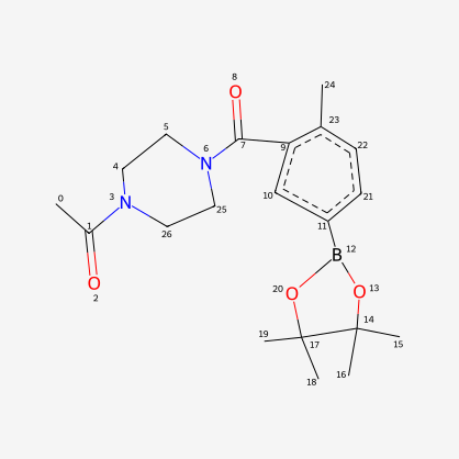 CC(=O)N1CCN(C(=O)c2cc(B3OC(C)(C)C(C)(C)O3)ccc2C)CC1